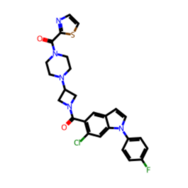 O=C(c1nccs1)N1CCN(C2CN(C(=O)c3cc4ccn(-c5ccc(F)cc5)c4cc3Cl)C2)CC1